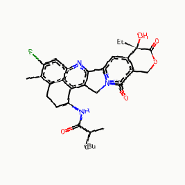 CC[C@@]1(O)C(=O)OCc2c1cc1n(c2=O)Cc2c-1nc1cc(F)c(C)c3c1c2[C@@H](NC(=O)C(C)C(C)(C)C)CC3